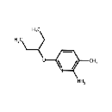 CCC(CC)Oc1ccc(C)c(N)n1